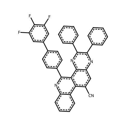 N#Cc1cc2nc(-c3ccccc3)c(-c3ccccc3)nc2c2c(-c3ccc(-c4cc(F)c(F)c(F)c4)cc3)nc3ccccc3c12